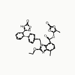 CCOc1nc2c(C)ccc(C(=O)Oc3oc(=O)oc3C)c2n1Cc1ccc(-c2ccccc2-c2noc(=O)[nH]2)cc1